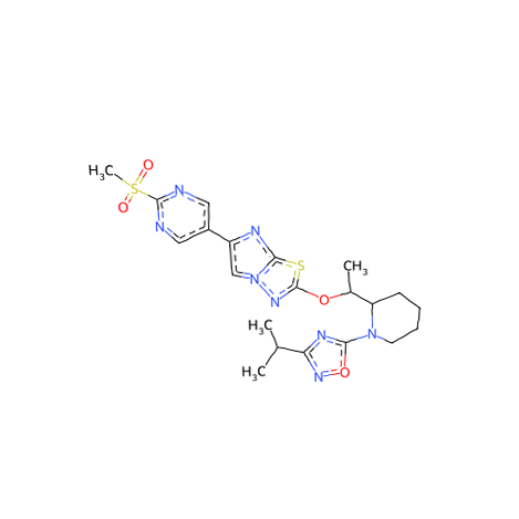 CC(C)c1noc(N2CCCCC2C(C)Oc2nn3cc(-c4cnc(S(C)(=O)=O)nc4)nc3s2)n1